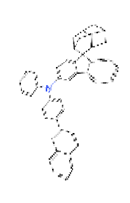 c1ccc(N(c2ccc(-c3ccc4ccccc4c3)cc2)c2ccc3c(c2)-c2ccccc2C32C3CC4CC(C3)CC2C4)cc1